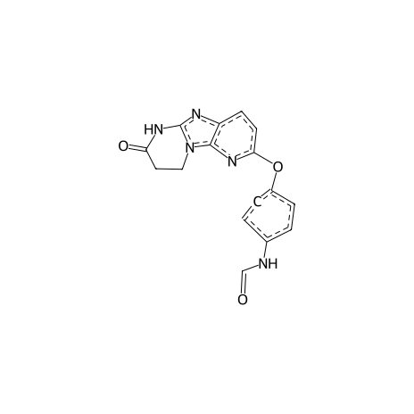 O=CNc1ccc(Oc2ccc3nc4n(c3n2)CCC(=O)N4)cc1